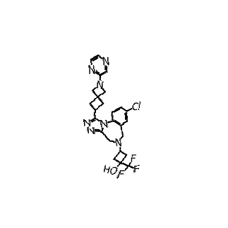 OC1(C(F)(F)F)CC(N2Cc3cc(Cl)ccc3-n3c(nnc3C3CC4(C3)CN(c3cnccn3)C4)C2)C1